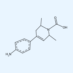 CC1C=C(c2ccc(N)cc2)CC(C)N1C(=O)O